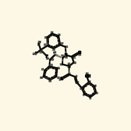 O=C(/C=C/c1ccccc1O)N1CC(=O)N(Cc2cccc(C(F)(F)F)c2)[C@@H](CCc2ccccc2)C1